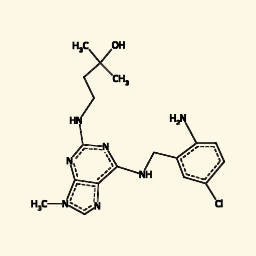 Cn1cnc2c(NCc3cc(Cl)ccc3N)nc(NCCC(C)(C)O)nc21